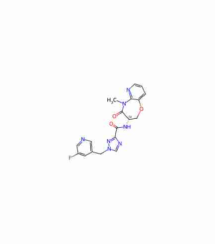 CN1C(=O)[C@@H](NC(=O)c2ncn(Cc3cncc(F)c3)n2)COc2cccnc21